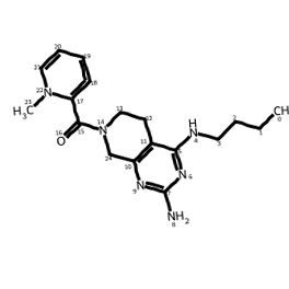 CCCCNc1nc(N)nc2c1CCN(C(=O)C1=C=CC=CN1C)C2